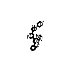 CN1CCC(n2cc(C3C=NC=C(c4cc(-c5ccccc5F)nc5nccnc45)C3)cn2)CC1